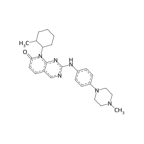 CC1CCCCC1n1c(=O)ccc2cnc(Nc3ccc(N4CCN(C)CC4)cc3)nc21